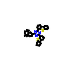 CC1(C)CCC(C)(C)c2cc(-c3nc(-c4cccc5c4sc4ccccc45)nc(-c4cccc5c4sc4ccccc45)n3)ccc21